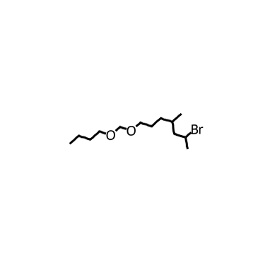 CCCCOCOCCCC(C)CC(C)Br